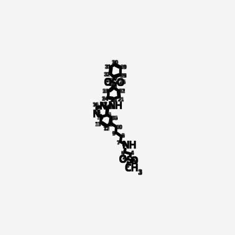 CS(=O)(=O)CCNCCCCc1ccc2ncnc(Nc3ccc(S(=O)(=O)c4ccccc4)cc3)c2c1